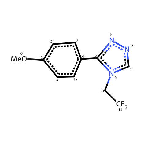 COc1ccc(-c2nncn2CC(F)(F)F)cc1